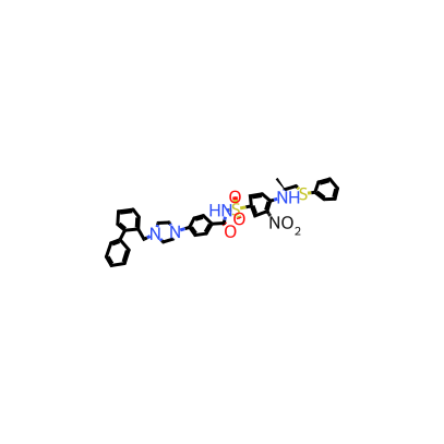 C[C@@H](CSc1ccccc1)Nc1ccc(S(=O)(=O)NC(=O)c2ccc(N3CCN(Cc4ccccc4-c4ccccc4)CC3)cc2)cc1[N+](=O)[O-]